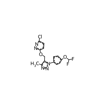 Cc1nnn(-c2ccc(OC(F)F)cc2)c1COc1ccc(Cl)nn1